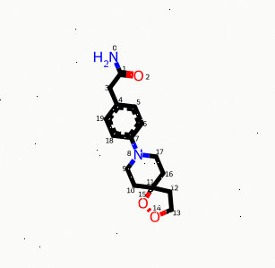 NC(=O)[CH]c1ccc(N2CCC3(CCOO3)CC2)cc1